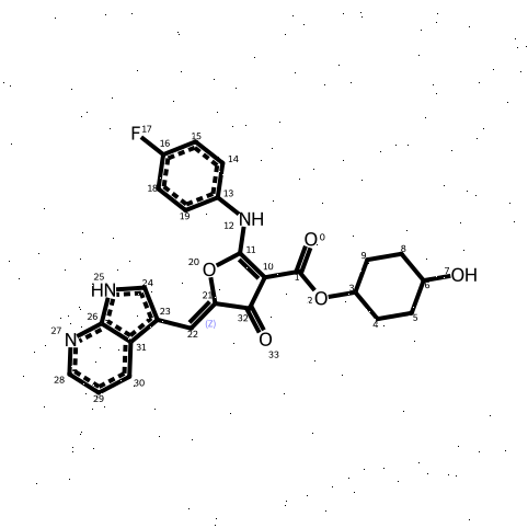 O=C(OC1CCC(O)CC1)C1=C(Nc2ccc(F)cc2)O/C(=C\c2c[nH]c3ncccc23)C1=O